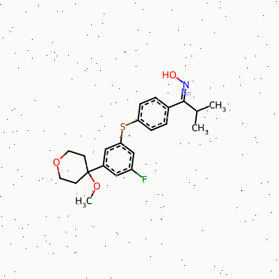 COC1(c2cc(F)cc(Sc3ccc(/C(=N\O)C(C)C)cc3)c2)CCOCC1